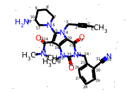 CC#CCn1c(N2CCC[C@@H](N)C2)c(C(=O)N(C)C)c2c1c(=O)n(Cc1ccccc1C#N)c(=O)n2C